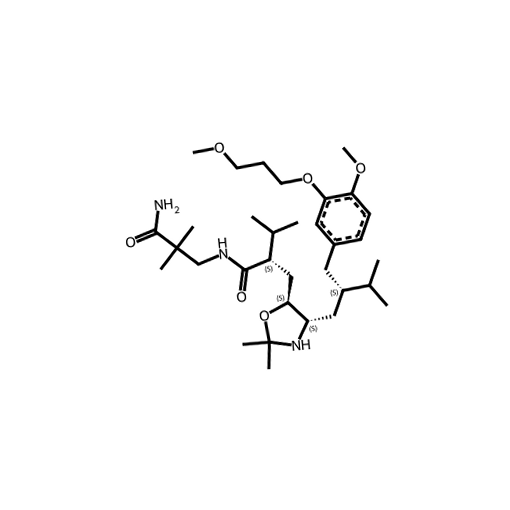 COCCCOc1cc(C[C@@H](C[C@@H]2NC(C)(C)O[C@H]2C[C@H](C(=O)NCC(C)(C)C(N)=O)C(C)C)C(C)C)ccc1OC